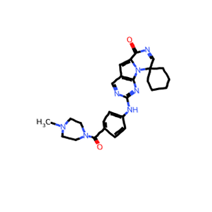 CN1CCN(C(=O)c2ccc(Nc3ncc4cc5n(c4n3)C3(C=NC5=O)CCCCC3)cc2)CC1